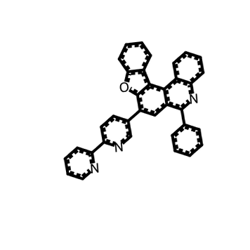 c1ccc(-c2nc3ccccc3c3c2cc(-c2ccc(-c4ccccn4)nc2)c2oc4ccccc4c23)cc1